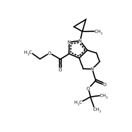 CCOC(=O)c1nn(C2(C)CC2)c2c1CN(C(=O)OC(C)(C)C)CC2